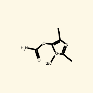 CC1=NC(C)=C(OC(N)=O)[SH]1C(C)(C)C